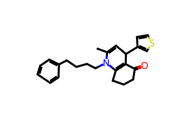 CC1=CC(c2ccsc2)C2=C(CCCC2=O)N1CCCCc1ccccc1